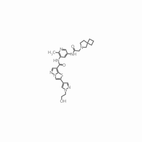 Cc1ncc(NC(=O)CN2CCC3(CCC3)C2)cc1NC(=O)c1cnn2cc(-c3cnn(CCO)c3)sc12